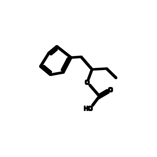 CCC(Cc1ccccc1)OC(=O)O